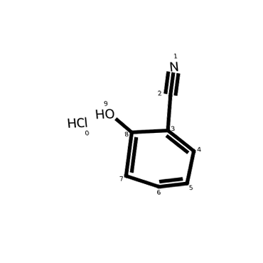 Cl.N#Cc1ccccc1O